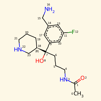 CC(=O)NCCCC(O)(c1cc(F)cc(CN)c1)[C@@H]1CCCNC1